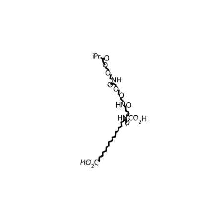 CC(C)C(=O)COCCOCCNC(=O)COCCOCCNC(=O)CC[C@H](NC(=O)CCCCCCCCCCCCCCCCC(=O)O)C(=O)O